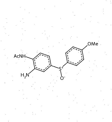 COc1ccc([S+]([O-])c2ccc(NC(C)=O)c(N)c2)cc1